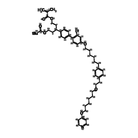 C=C(C)C(=O)OCCC(CCOC(=O)C(C)(C)C)c1ccc(-c2ccc(OCCCCCCc3ccc(CCOCCCCCCOc4ccncc4)cc3)cc2CC)cc1